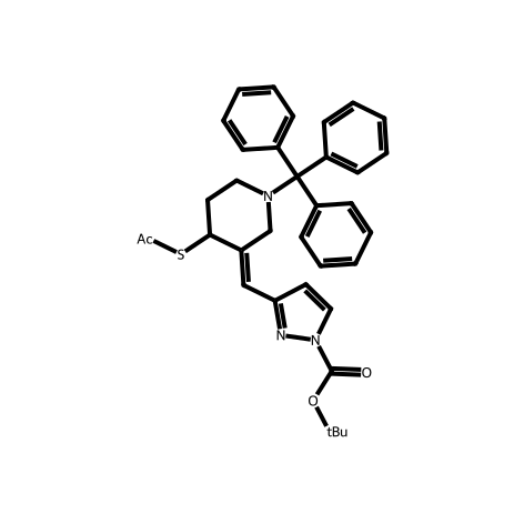 CC(=O)SC1CCN(C(c2ccccc2)(c2ccccc2)c2ccccc2)C/C1=C\c1ccn(C(=O)OC(C)(C)C)n1